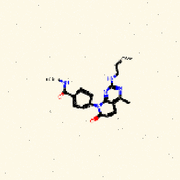 CCCCCCCCNC(=O)c1ccc(-n2c(=O)ccc3c(C)nc(NCCOC)nc32)cc1